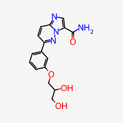 NC(=O)c1cnc2ccc(-c3cccc(OCC(O)CO)c3)nn12